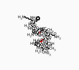 CC(C)[C@H](NC(=O)[C@H](CC(N)=O)NC(=O)[C@H](CC(N)=O)NC(=O)[C@H](C)NC(=O)[C@H](Cc1ccccc1)NC(=O)[C@@H](N)CCCCN)C(=O)N[C@H](C(=O)N[C@@H](CCC(N)=O)C(=O)N[C@@H](CCCCN)C(=O)N[C@@H](CS)C(=O)N[C@H](C(=O)N[C@H](C(=O)N[C@@H](Cc1c[nH]cn1)C(=O)N[C@@H](C)C(=O)O)[C@@H](C)O)C(C)C)C(C)C